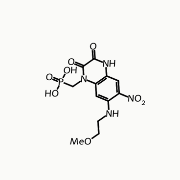 COCCNc1cc2c(cc1[N+](=O)[O-])[nH]c(=O)c(=O)n2CP(=O)(O)O